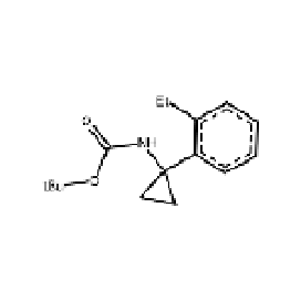 CCc1ccccc1C1(NC(=O)OC(C)(C)C)CC1